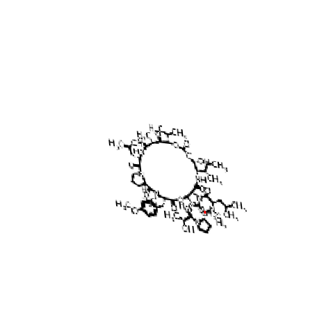 CC[C@H](C)[C@@H]1NC(=O)[C@@H](N(C(=O)[C@@H](CC(C)C)N(C)C(=O)[C@@H]2CCCN2C(=O)[C@H](C)O)C(C)C)[C@@H](C)OC(=O)[C@H](Cc2ccc(OC)cc2)N(C)C(=O)[C@@H]2CCCN2C(=O)[C@H](CC(C)C)NC(=O)[C@@H](C)C(=O)[C@H](C(C)C)OC(=O)C[C@@H]1O